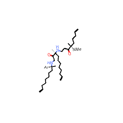 C=CCCCCCC[C@@](C)(NCC(=O)[C@](C)(CCCCCCC=C)NCCC(=O)[C@@](C)(CCCC=C)NC)C(C)=O